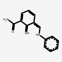 N=C1C(C(N)=O)=CC=C/C1=C/Nc1ccccc1